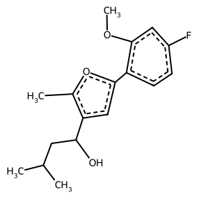 COc1cc(F)ccc1-c1cc(C(O)CC(C)C)c(C)o1